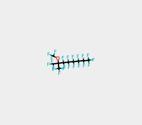 FC(F)(F)OC(C(F)(F)F)(C(F)(F)F)C(F)(F)C(F)(F)C(F)(F)C(F)(F)C(F)(F)C(F)(F)F